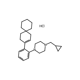 C1=C(c2ccccc2N2CCN(CC3CC3)CC2)CCC2(C1)CCCCC2.Cl